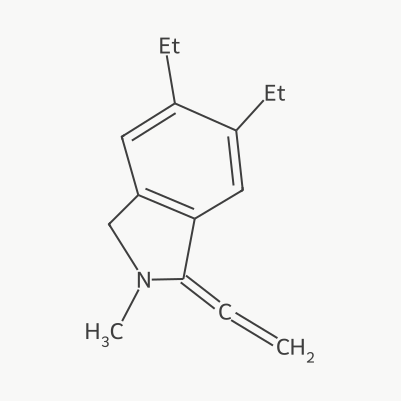 C=C=C1c2cc(CC)c(CC)cc2CN1C